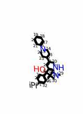 CC(C)c1ccc(C(O)(C2=CNCC(C3CCN(c4ccccc4)CC3)=C2)C2(C)CN(C)C2)cc1